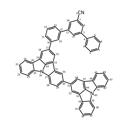 N#Cc1cc(-c2ccccc2)cc(-c2cccc(-c3cc4c5ccccc5n5c6ccc(-c7cc8c9ccccc9n9c%10ccccc%10c(c7)c89)cc6c(c3)c45)c2)c1